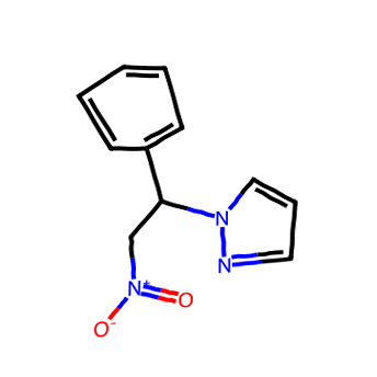 O=[N+]([O-])CC(c1ccccc1)n1cccn1